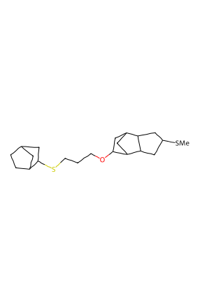 CSC1CC2C3CC(OCCCSC4CC5CCC4C5)C(C3)C2C1